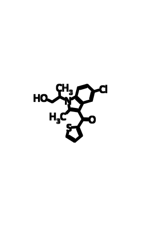 Cc1c(C(=O)c2cccs2)c2cc(Cl)ccc2n1C(C)CO